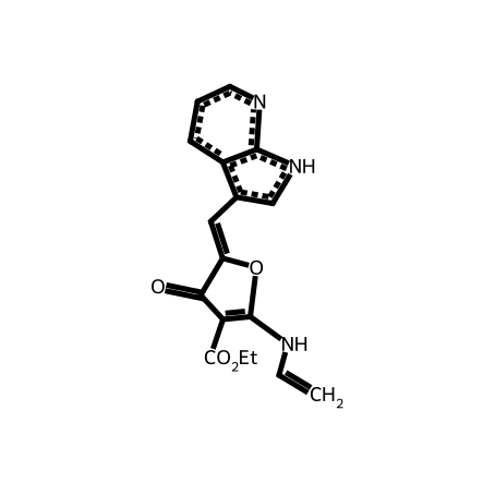 C=CNC1=C(C(=O)OCC)C(=O)/C(=C/c2c[nH]c3ncccc23)O1